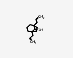 C=CCC12CCCC(CC=C)(CC1)C2O